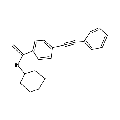 C=C(NC1CCCCC1)c1ccc(C#Cc2ccccc2)cc1